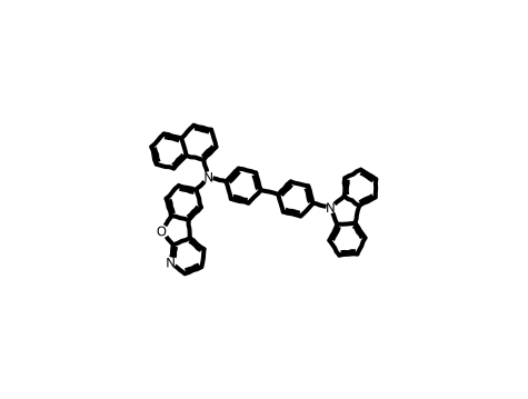 c1ccc2c(N(c3ccc(-c4ccc(-n5c6ccccc6c6ccccc65)cc4)cc3)c3ccc4oc5ncccc5c4c3)cccc2c1